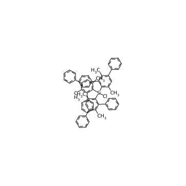 Cc1cc(-c2ccccc2)c(C)c(-c2ccccc2)c1[Si](Cl)(c1c(C)cc(-c2ccccc2)c(C)c1-c1ccccc1)c1c(C)cc(-c2ccccc2)c(C)c1-c1ccccc1